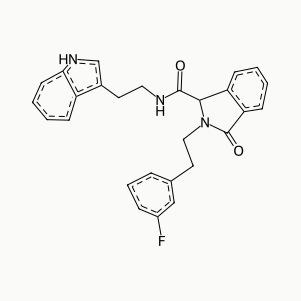 O=C(NCCc1c[nH]c2ccccc12)C1c2ccccc2C(=O)N1CCc1cccc(F)c1